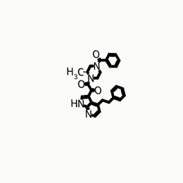 C[C@@H]1CN(C(=O)c2ccccc2)CCN1C(=O)C(=O)c1c[nH]c2nccc(CCc3ccccc3)c12